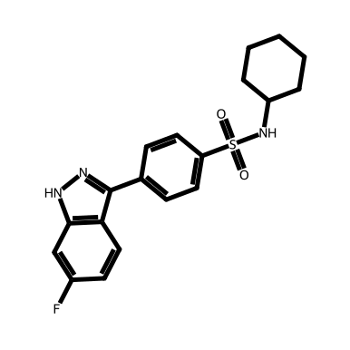 O=S(=O)(NC1CCCCC1)c1ccc(-c2n[nH]c3cc(F)ccc23)cc1